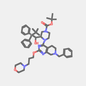 CC(C)(C)OC(=O)N1CCN(c2nc(OCCCN3CCOCC3)nc3c2CCN(Cc2ccccc2)C3)C(C(O)[Si](c2ccccc2)(c2ccccc2)C(C)(C)C)C1